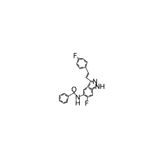 O=C(Nc1cc2c(C=Cc3ccc(F)cc3)n[nH]c2cc1F)c1ccccc1